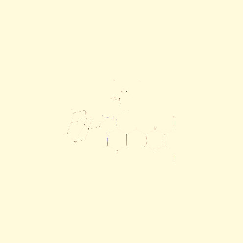 COc1ccc(CC2CCCN3C(C45CC6CC(CC(C6)C4)C5)=NN(OC(=O)C(F)(F)F)C23)cc1OC